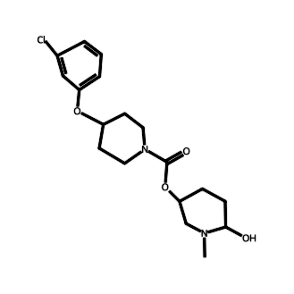 CN1CC(OC(=O)N2CCC(Oc3cccc(Cl)c3)CC2)CCC1O